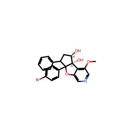 COc1cncc2c1[C@]1(O)[C@H](O)CC(c3ccccc3)C1(c1ccc(Br)cc1)O2